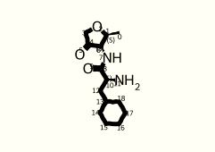 C[C@@H]1OCC(=O)[C@H]1NC(=O)[C@@H](N)CC1CCCCC1